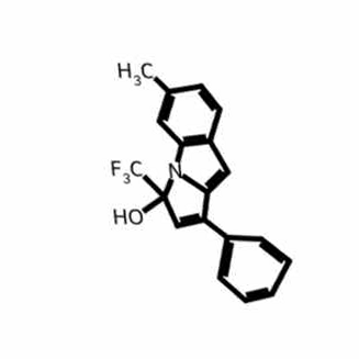 Cc1ccc2cc3n(c2c1)C(O)(C(F)(F)F)C=C3c1ccccc1